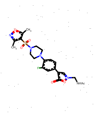 CC(=O)NCn1cc(-c2ccc(N3CCN(S(=O)(=O)c4c(C)noc4C)CC3)c(F)c2)c(=O)o1